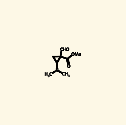 COC(=O)C1(C=O)CC1N(C)C